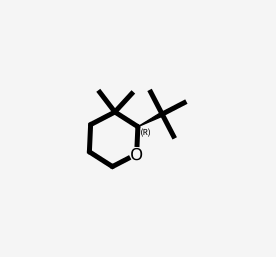 CC(C)(C)[C@H]1OCCCC1(C)C